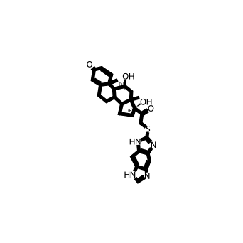 CC12C=CC(=O)C=C1CCC1C2[C@@H](O)CC2(C)C1CC[C@]2(O)C(=O)CSc1nc2cc3nc[nH]c3cc2[nH]1